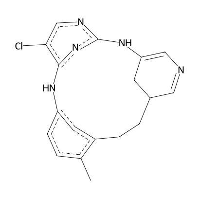 Cc1ccc2cc1CCC1C=NC=C(C1)Nc1ncc(Cl)c(n1)N2